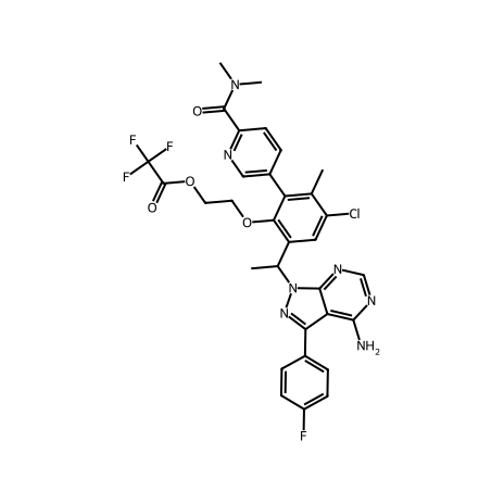 Cc1c(Cl)cc(C(C)n2nc(-c3ccc(F)cc3)c3c(N)ncnc32)c(OCCOC(=O)C(F)(F)F)c1-c1ccc(C(=O)N(C)C)nc1